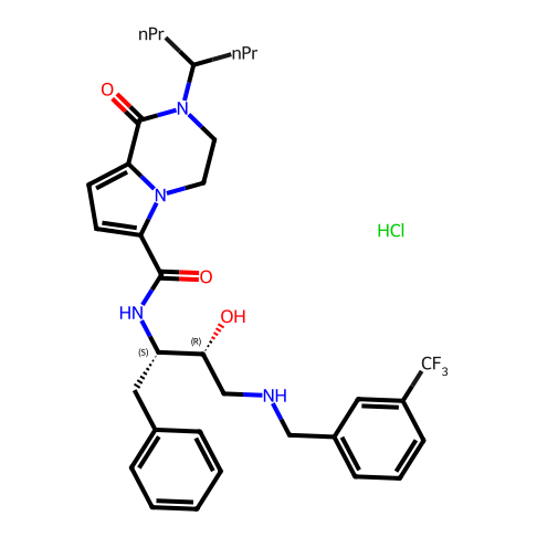 CCCC(CCC)N1CCn2c(C(=O)N[C@@H](Cc3ccccc3)[C@H](O)CNCc3cccc(C(F)(F)F)c3)ccc2C1=O.Cl